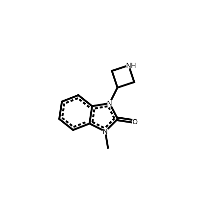 Cn1c(=O)n(C2CNC2)c2ccccc21